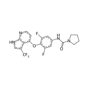 O=C(Nc1cc(F)c(Oc2ccnc3[nH]cc(C(F)(F)F)c23)c(F)c1)N1CCCC1